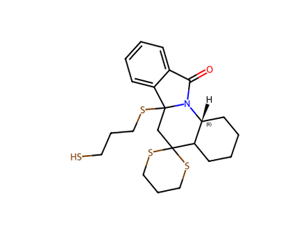 O=C1c2ccccc2C2(SCCCS)CC3(SCCCS3)C3CCCC[C@H]3N12